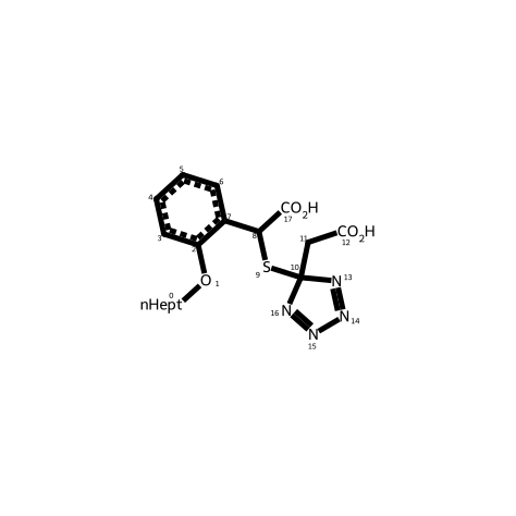 CCCCCCCOc1ccccc1C(SC1(CC(=O)O)N=NN=N1)C(=O)O